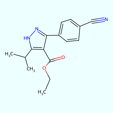 CCOC(=O)c1c(-c2ccc(C#N)cc2)n[nH]c1C(C)C